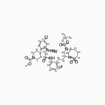 COC(=O)N1CCC(c2ccc(Cl)cc2)([C@H](N=[N+]=[N-])C(=O)Nc2cccc(F)c2CCC2CN(C(=O)OC(C)(C)C)C3CCCS(=O)(=O)N2C3)CC1